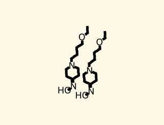 CCOCCCCN1CCC(=NO)CC1.CCOCCCCN1CCC(=NO)CC1